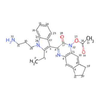 CCc1c(-c2nc3cc4c(cc3n(OC(C)=O)c2=O)CCC4)c2ccccc2n1CCCN